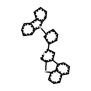 c1cc(-c2ccc3c(c2)-c2cccc4cccc(c24)O3)cc(-n2c3ccccc3c3ccccc32)c1